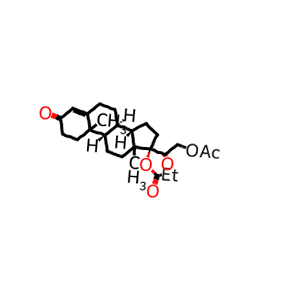 CCC(=O)O[C@]1(C(=O)COC(C)=O)CC[C@H]2[C@@H]3CCC4=CC(=O)CCC4(C)[C@H]3CCC21C